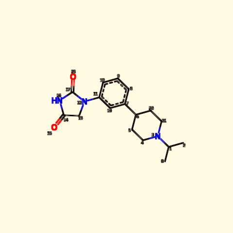 CC(C)N1CCC(c2cccc(N3CC(=O)NC3=O)c2)CC1